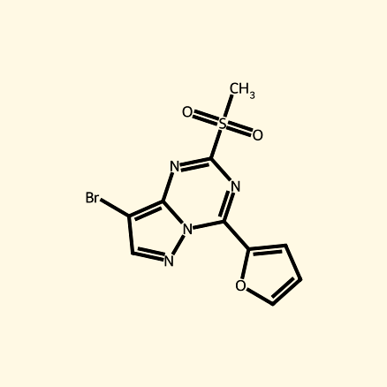 CS(=O)(=O)c1nc(-c2ccco2)n2ncc(Br)c2n1